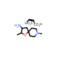 CC1OC2(CCN(C)CC2)CC1N.O=C(O)/C=C\C(=O)O